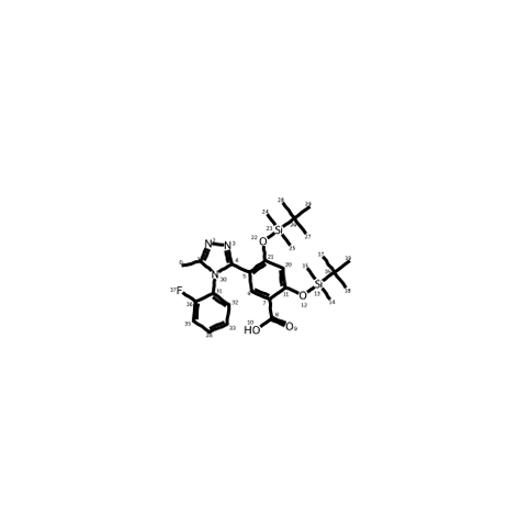 Cc1nnc(-c2cc(C(=O)O)c(O[Si](C)(C)C(C)(C)C)cc2O[Si](C)(C)C(C)(C)C)n1-c1ccccc1F